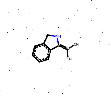 N#CC(C#N)=C1NCc2ccccc21